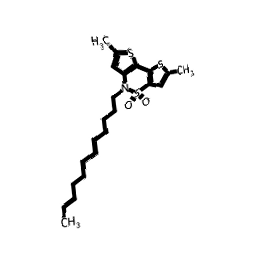 CCCCCCCCCCCCN1c2cc(C)sc2-c2sc(C)cc2S1(=O)=O